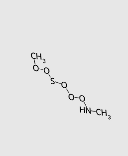 CNOOOSOOC